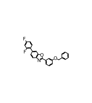 Fc1ccc(-c2ccc3nc(-c4cccc(OCc5ccccc5)c4)oc3c2)c(F)c1